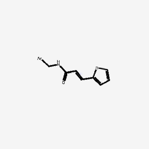 CC(=O)CNC(=O)/C=C/c1ccco1